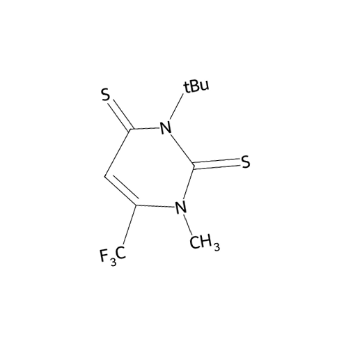 Cn1c(C(F)(F)F)cc(=S)n(C(C)(C)C)c1=S